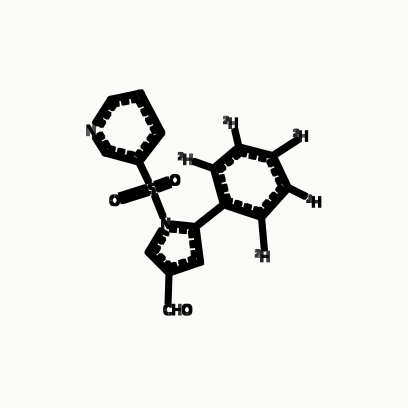 [2H]c1c([2H])c([2H])c(-c2cc(C=O)cn2S(=O)(=O)c2cccnc2)c([2H])c1[2H]